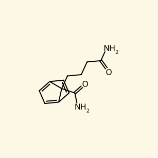 NC(=O)CCCC1(C(N)=O)C2=CC=C1C=C2